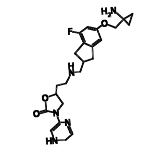 NC1(COc2cc(F)c3c(c2)CC(CNCCC2CN(C4=CNCC=N4)C(=O)O2)C3)CC1